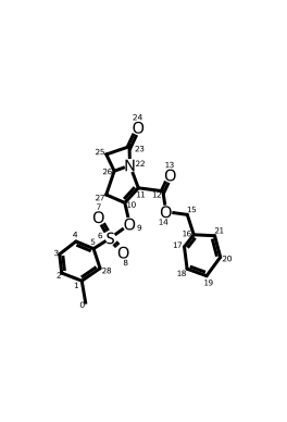 Cc1cccc(S(=O)(=O)OC2=C(C(=O)OCc3ccccc3)N3C(=O)CC3C2)c1